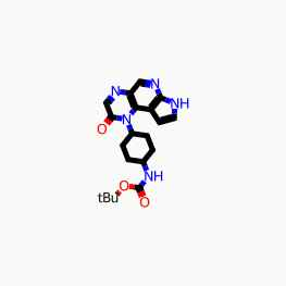 CC(C)(C)OC(=O)NC1CCC(n2c(=O)cnc3cnc4[nH]ccc4c32)CC1